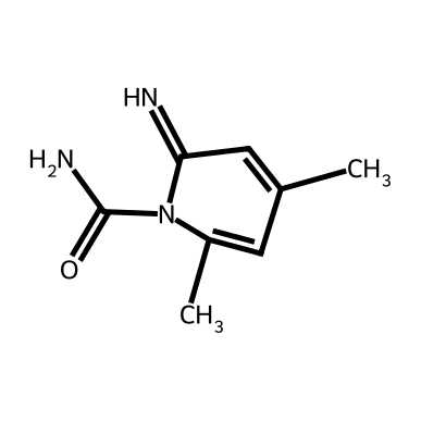 Cc1cc(C)n(C(N)=O)c(=N)c1